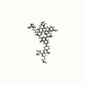 CC[C@H](C)[C@H](N)C(=O)N[C@@H](CCCCN)C(=O)N1CCN(c2ccc3ncn(CC(=O)N[C@@H](CCCNC(=N)N)C(=O)N[C@@H](CC4=NCC=N4)C(=O)N[C@@H](Cc4ccc(O)cc4)C(=O)N[C@H](CC(C)C)C(=O)NC)c(=O)c3c2)CC1